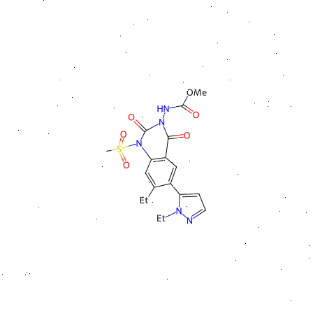 CCc1cc2c(cc1-c1ccnn1CC)c(=O)n(NC(=O)OC)c(=O)n2S(C)(=O)=O